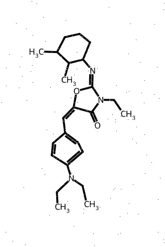 CCN1C(=O)/C(=C\c2ccc(N(CC)CC)cc2)OC1=NC1CCCC(C)C1C